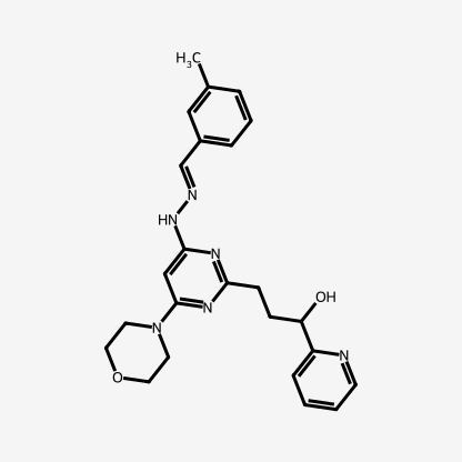 Cc1cccc(/C=N/Nc2cc(N3CCOCC3)nc(CCC(O)c3ccccn3)n2)c1